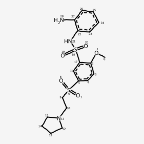 COc1ccc(S(=O)(=O)CCN2CCCC2)cc1S(=O)(=O)Nc1ccccc1N